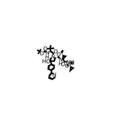 C=C[C@@H]1C[C@]1(NC(=O)[C@@H]1C[C@@](O)(c2ccc(-c3ccccn3)cc2)CN1C(=O)[C@@H](NC(=O)OC(C)(C)C)C(C)(C)C)C(=O)NS(=O)(=O)C1CC1